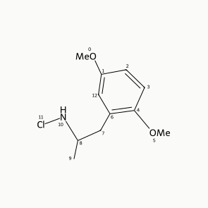 COc1ccc(OC)c(CC(C)NCl)c1